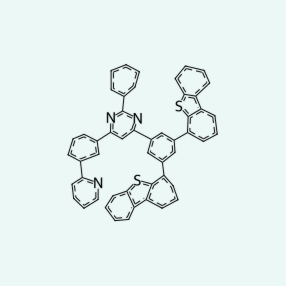 c1ccc(-c2nc(-c3cccc(-c4ccccn4)c3)cc(-c3cc(-c4cccc5c4sc4ccccc45)cc(-c4cccc5c4sc4ccccc45)c3)n2)cc1